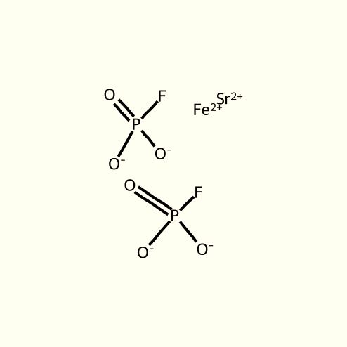 O=P([O-])([O-])F.O=P([O-])([O-])F.[Fe+2].[Sr+2]